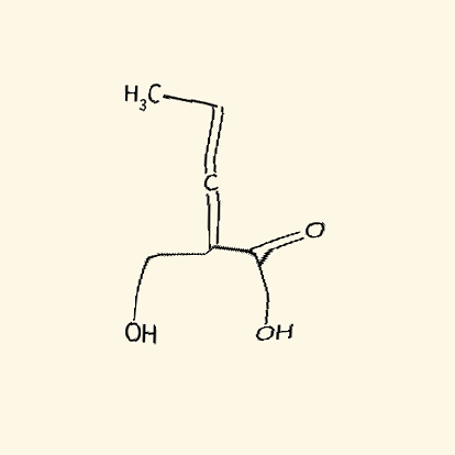 CC=C=C(CO)C(=O)O